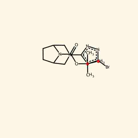 CC(C)(C)OC(=O)N1C2CCC1CN(c1nnc(Br)s1)C2